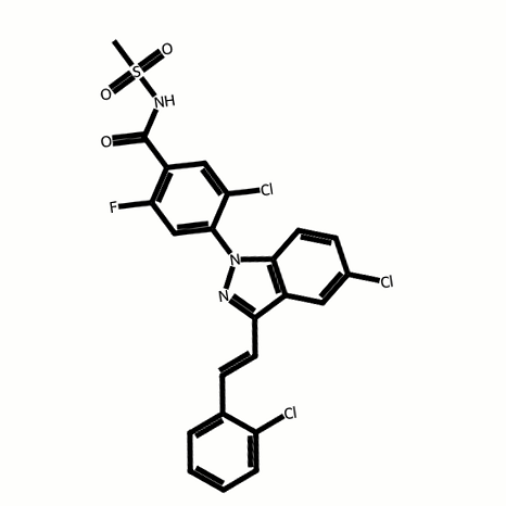 CS(=O)(=O)NC(=O)c1cc(Cl)c(-n2nc(/C=C/c3ccccc3Cl)c3cc(Cl)ccc32)cc1F